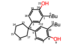 CCCCc1cc(C2(c3ccc(O)c(CCCC)c3)CCCCC2)ccc1O